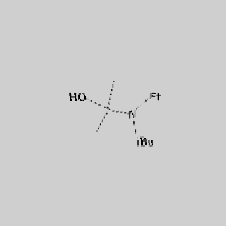 CCC(C)N(CC)C(C)(C)O